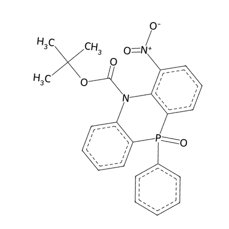 CC(C)(C)OC(=O)N1c2ccccc2P(=O)(c2ccccc2)c2cccc([N+](=O)[O-])c21